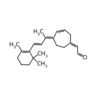 CC(C=CC1=C(C)CCCC1(C)C)=C1C=CCC(=CC=O)CC1